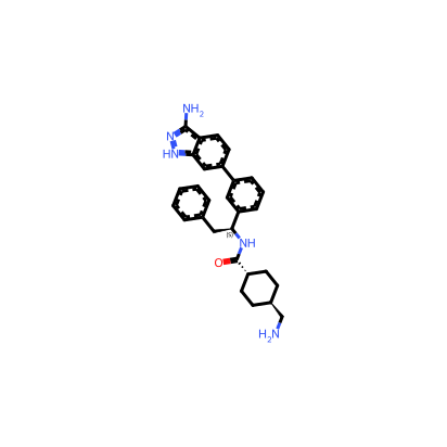 NC[C@H]1CC[C@H](C(=O)N[C@@H](Cc2ccccc2)c2cccc(-c3ccc4c(N)n[nH]c4c3)c2)CC1